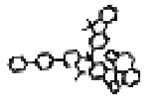 CC(C)c1cc(-c2ccc(-c3ccccc3)cc2)ccc1N(c1ccc2c(c1)C(C)(C)c1ccccc1-2)c1ccc2c(c1)C1(c3ccccc3CCc3ccccc31)c1ccccc1-2